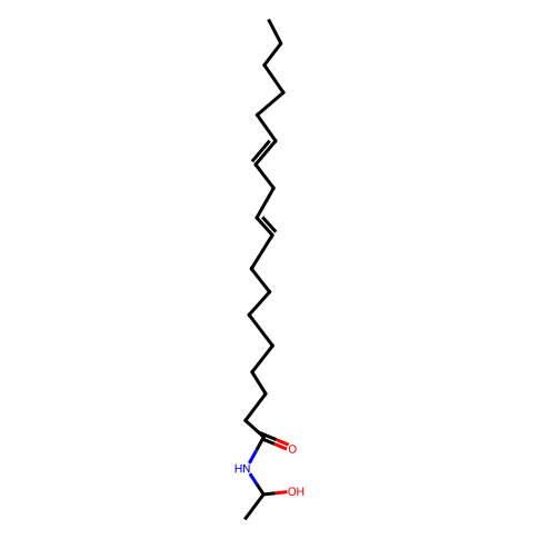 CCCCCC=CCC=CCCCCCCCC(=O)NC(C)O